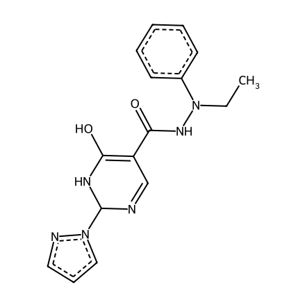 CCN(NC(=O)C1=C(O)NC(n2cccn2)N=C1)c1ccccc1